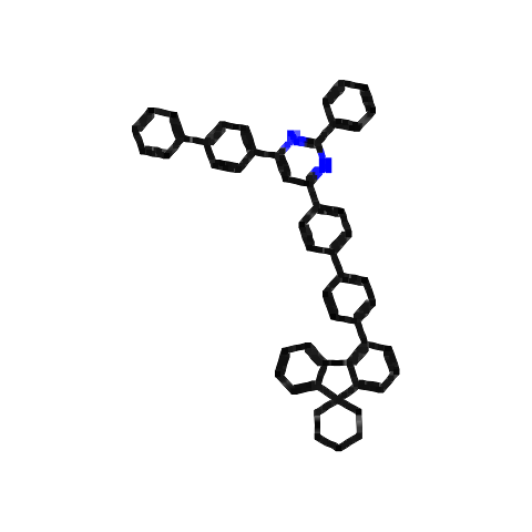 c1ccc(-c2ccc(-c3cc(-c4ccc(-c5ccc(-c6cccc7c6-c6ccccc6C76CCCCC6)cc5)cc4)nc(-c4ccccc4)n3)cc2)cc1